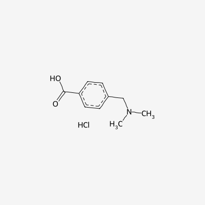 CN(C)Cc1ccc(C(=O)O)cc1.Cl